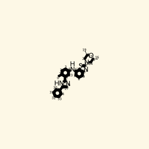 Cc1ccc(Nc2cccc3nc(N4C[C@@H](C)O[C@@H](C)C4)sc23)cc1-c1ncc(-c2ccccc2)[nH]1